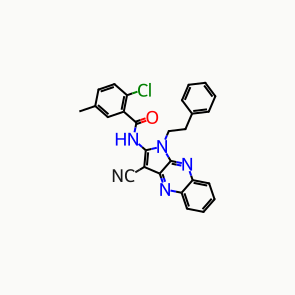 Cc1ccc(Cl)c(C(=O)Nc2c(C#N)c3nc4ccccc4nc3n2CCc2ccccc2)c1